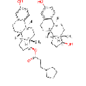 C[C@]12CC[C@@H]3c4ccc(O)cc4CC[C@H]3[C@@H]1CC[C@@H]2O.C[C@]12CC[C@@H]3c4ccc(O)cc4CC[C@H]3[C@@H]1CC[C@@H]2OC(=O)CCC1CCCC1